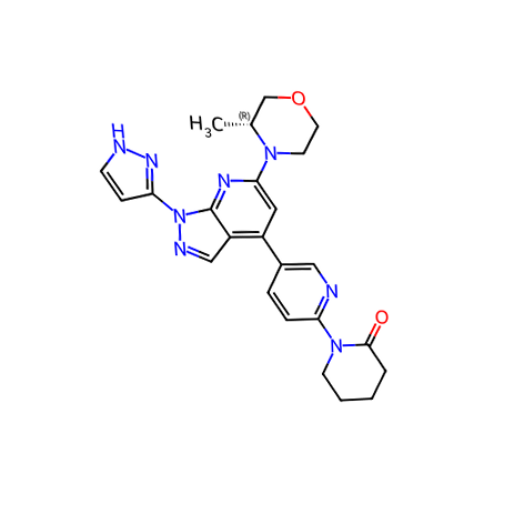 C[C@@H]1COCCN1c1cc(-c2ccc(N3CCCCC3=O)nc2)c2cnn(-c3cc[nH]n3)c2n1